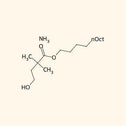 CCCCCCCCCCCCOC(=O)C(C)(C)CCO.N